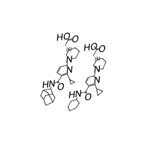 O=C(O)C[C@@H]1CCCN(c2ccc(C(=O)NC3C4CC5CC(C4)CC3C5)c(C3CC3)n2)C1.O=C(O)C[C@@H]1CCCN(c2ccc(C(=O)NC3CCCCC3)c(C3CC3)n2)C1